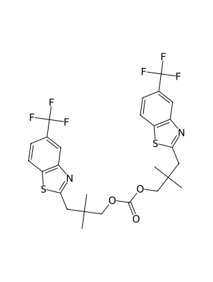 CC(C)(COC(=O)OCC(C)(C)Cc1nc2cc(C(F)(F)F)ccc2s1)Cc1nc2cc(C(F)(F)F)ccc2s1